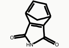 O=C1NC(=O)C2=C1C1=CC=C2C1